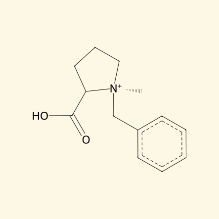 C[N@@+]1(Cc2ccccc2)CCCC1C(=O)O